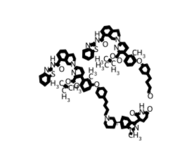 Cc1c(OC2CCC(CCCC=O)CC2)cccc1-c1ccc(N2CCc3cccc(C(=O)Nc4nc5ccccc5s4)c3C2)nc1C(=O)OC(C)(C)C.Cc1c(OC2CCC(CCCCN3CCC[C@H](c4ccc5c(C6CCC(=O)NC6=O)nn(C)c5c4)C3)CC2)cccc1-c1ccc(N2CCc3cccc(C(=O)Nc4nc5ccccc5s4)c3C2)nc1C(=O)OC(C)(C)C